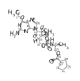 CCOc1nc(N)nc2c1ncn2[C@@H]1O[C@@H]2CO[P@](=O)(N[C@@H](C)COC(=O)C3CCCC3)O[C@H]2[C@@]1(C)Cl